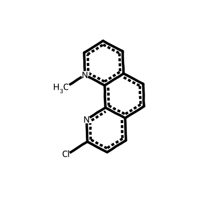 C[n+]1cccc2ccc3ccc(Cl)nc3c21